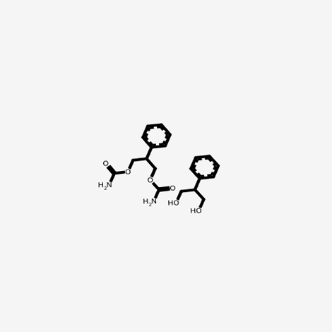 NC(=O)OCC(COC(N)=O)c1ccccc1.OCC(CO)c1ccccc1